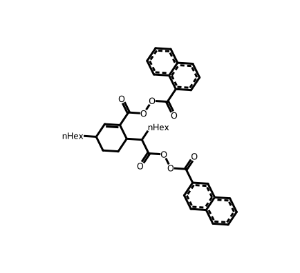 CCCCCCC1C=C(C(=O)OOC(=O)c2cccc3ccccc23)C(C(CCCCCC)C(=O)OOC(=O)c2ccc3ccccc3c2)CC1